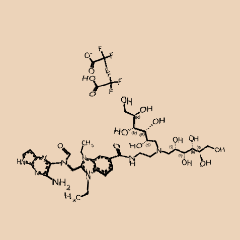 CCn1c(CN(C=O)c2nc3cc[nH]c3nc2N)[n+](CC)c2ccc(C(=O)NCCN(C[C@H](O)[C@@H](O)[C@H](O)[C@H](O)CO)C[C@H](O)[C@@H](O)[C@H](O)[C@H](O)CO)cc21.O=C(O)C(F)(F)F.O=C([O-])C(F)(F)F